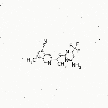 CC(Sc1nc(N)cc(C(F)(F)F)n1)c1cc2c(C#N)cn(C)c2cn1